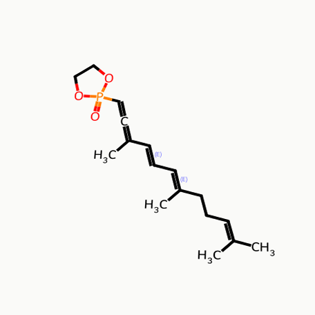 CC(=C=CP1(=O)OCCO1)/C=C/C=C(\C)CCC=C(C)C